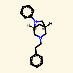 c1ccc(CCN2C[C@@H]3C[C@H](C2)N(c2ccccc2)C3)cc1